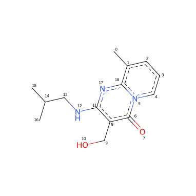 Cc1cccn2c(=O)c(CO)c(NCC(C)C)nc12